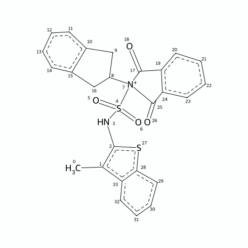 Cc1c(NS(=O)(=O)[N+]2(C3Cc4ccccc4C3)C(=O)c3ccccc3C2=O)sc2ccccc12